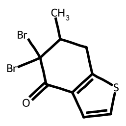 CC1Cc2sccc2C(=O)C1(Br)Br